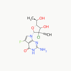 C#CC1(Cl)C(O)[C@@H]([C@@H](C)O)O[C@H]1n1cc(F)c2c(=O)[nH]c(N)nc21